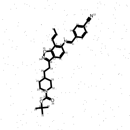 C/C=C/c1c(N=Cc2ccc(C#N)cc2)ccc2c(CCC3CCN(C(=O)OC(C)(C)C)CC3)noc12